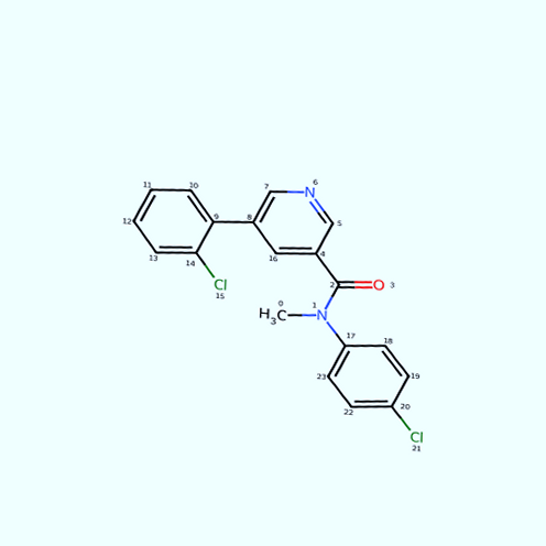 CN(C(=O)c1cncc(-c2ccccc2Cl)c1)c1ccc(Cl)cc1